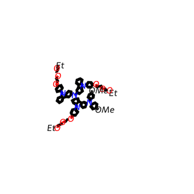 CCOCCOCCOc1ccc(-n2c3ccccc3c3cc(N(c4ccc5c(c4)c4ccccc4n5-c4ccc(OCCOCCOCC)cc4)c4ccc5c(c4)c4cc(N(c6ccc(OC)cc6)c6ccc(OC)cc6)ccc4n5-c4ccc(OCCOCCOCC)cc4)ccc32)cc1